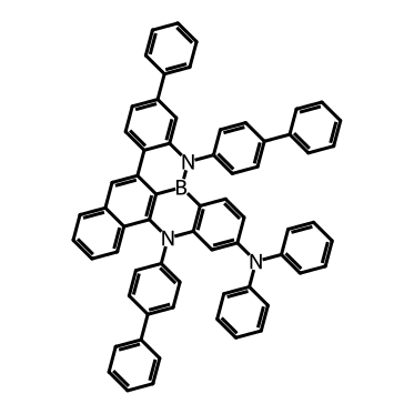 c1ccc(-c2ccc(N3B4c5ccc(N(c6ccccc6)c6ccccc6)cc5N(c5ccc(-c6ccccc6)cc5)c5c4c(cc4ccccc54)-c4ccc(-c5ccccc5)cc43)cc2)cc1